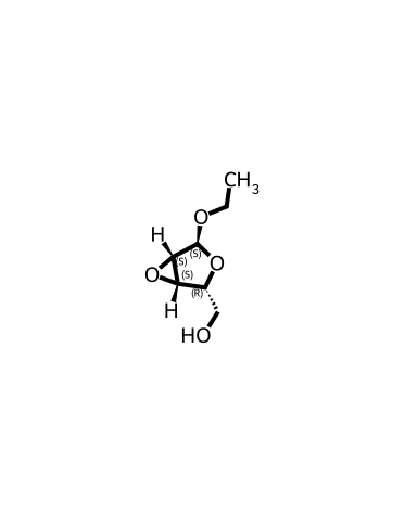 CCO[C@H]1O[C@H](CO)[C@@H]2O[C@H]12